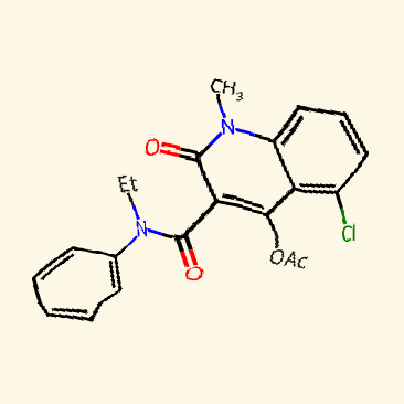 CCN(C(=O)c1c(OC(C)=O)c2c(Cl)cccc2n(C)c1=O)c1ccccc1